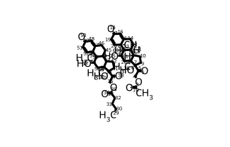 CC(=O)OCC(=O)[C@@]1(O)CC[C@H]2[C@@H]3CCC4=CC(=O)C=C[C@]4(C)[C@H]3C(O)C[C@@]21C.CCCCC(=O)OCC(=O)[C@@]1(O)CCC2C3CCC4=CC(=O)C=C[C@]4(C)C3C(O)C[C@@]21C